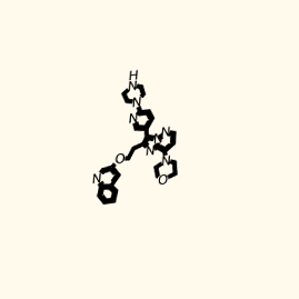 c1ccc2ncc(OCCc3nc4c(N5CCOCC5)ccnn4c3-c3ccc(N4CCNCC4)nc3)cc2c1